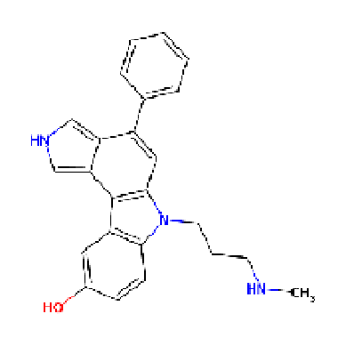 CNCCCn1c2ccc(O)cc2c2c3c[nH]cc3c(-c3ccccc3)cc21